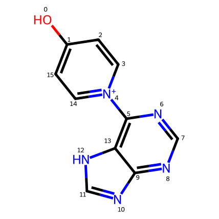 Oc1cc[n+](-c2ncnc3nc[nH]c23)cc1